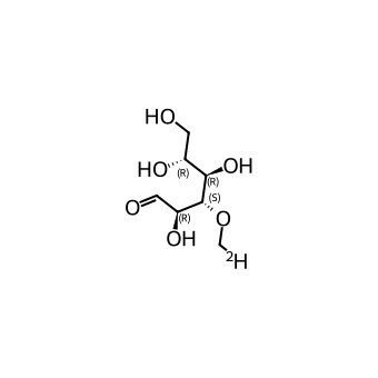 [2H]CO[C@@H]([C@H](O)[C@H](O)CO)[C@@H](O)C=O